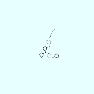 CCOC(=O)CCCCCCN1CCN(C(=O)c2cccc([C@H](c3cccc(O)c3)N3C[C@@H](C)N(Cc4ccccc4)C[C@@H]3C)c2)CC1